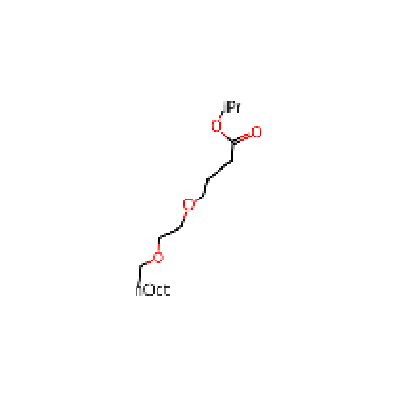 CCCCCCCCCOCCOCCCC(=O)OC(C)C